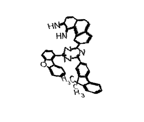 CC1(C)c2ccccc2-c2ccc(-c3nc(-c4ccc5ccc6c(c5c4)C(=N)C(=N)C=C6)nc(-c4cccc5oc6ccccc6c45)n3)cc21